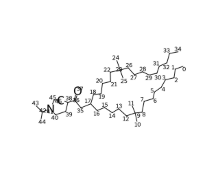 CCCCCCCCCC(C)(C)CCCCCC(CCCCCC(C)(C)CCCCCCCCC)CC(=O)C1CCN(C(C)C)CC1